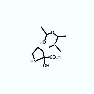 CC(O)OC(C)N(C)C.O=C(O)[C@]1(O)CCCN1